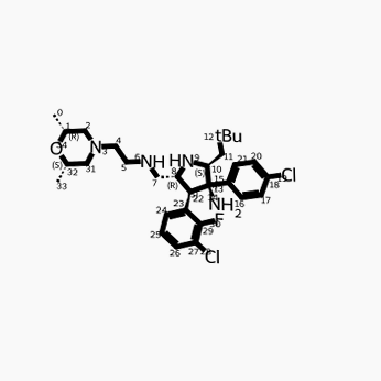 C[C@@H]1CN(CCNC[C@@H]2N[C@@H](CC(C)(C)C)[C@](N)(c3ccc(Cl)cc3)[C@H]2c2cccc(Cl)c2F)C[C@H](C)O1